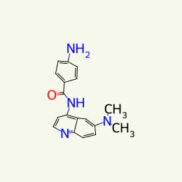 CN(C)c1ccc2nccc(NC(=O)c3ccc(N)cc3)c2c1